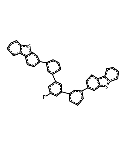 Fc1cc(-c2cccc(-c3ccc4c(c3)sc3ccccc34)c2)cc(-c2cccc(-c3ccc4c(c3)sc3ccccc34)c2)c1